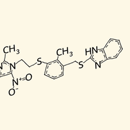 Cc1c(CSc2nc3ccccc3[nH]2)cccc1SCCn1c([N+](=O)[O-])cnc1C